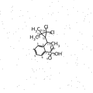 CC(c1ccccc1S(=O)(=O)O)C1C(C)(C)C1(Cl)Cl